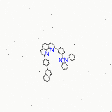 c1ccc(-n2c(-c3cccc(-c4ccc5ccc6ccc(-c7ccc(-c8ccc9ccccc9c8)cc7)nc6c5n4)c3)nc3ccccc32)cc1